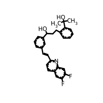 CC(C)(O)c1ccccc1CCC(O)c1cccc(/C=C/c2ccc3cc(F)c(F)cc3n2)c1